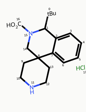 CC(C)(C)C1c2ccccc2C2(CCNCC2)CN1C(=O)O.Cl